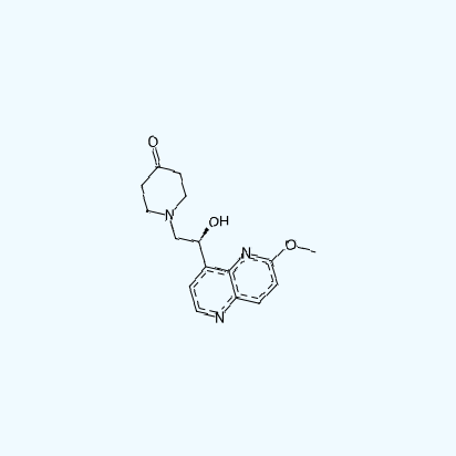 COc1ccc2nccc([C@H](O)CN3CCC(=O)CC3)c2n1